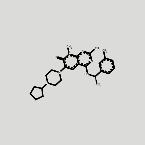 Cc1nc(N[C@H](C)c2cccc(C(F)(F)F)c2)c2cc(N3CCN(C4CCCC4)CC3)c(=O)n(C)c2n1